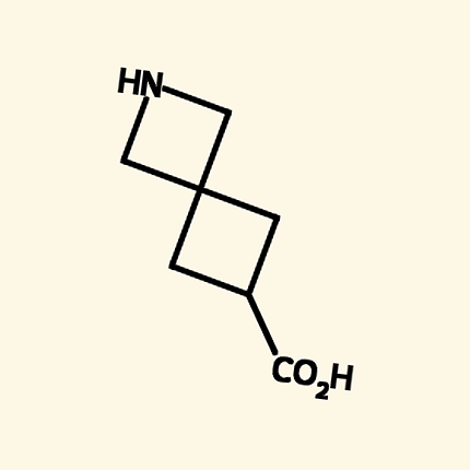 O=C(O)C1CC2(CNC2)C1